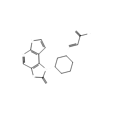 O=C(O)/C=C/[C@@H]1CCC[C@H](n2c(=O)[nH]c3cnc4[nH]ccc4c32)C1